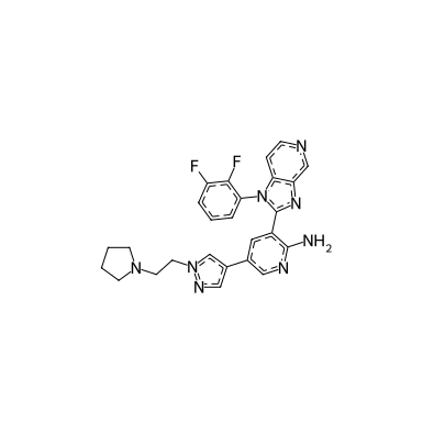 Nc1ncc(-c2cnn(CCN3CCCC3)c2)cc1-c1nc2cnccc2n1-c1cccc(F)c1F